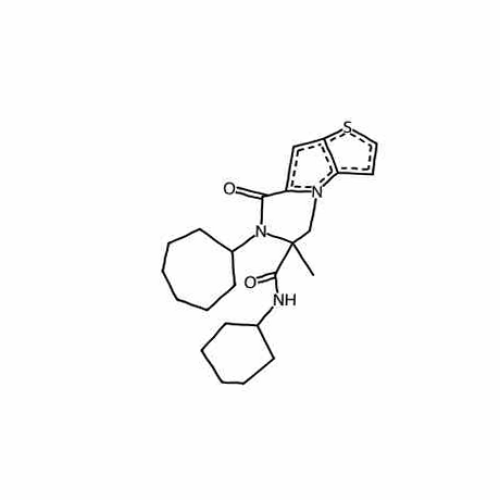 CC1(C(=O)NC2CCCCC2)Cn2c(cc3sccc32)C(=O)N1C1CCCCCC1